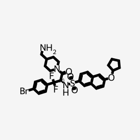 NCC1CCN(C(=O)[C@@H](NS(=O)(=O)c2ccc3cc(OC4CCCC4)ccc3c2)C(F)(F)c2ccc(Br)cc2)CC1